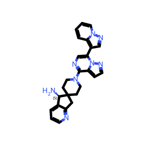 N[C@@H]1c2cccnc2CC12CCN(c1ncc(-c3cnn4ccccc34)n3nccc13)CC2